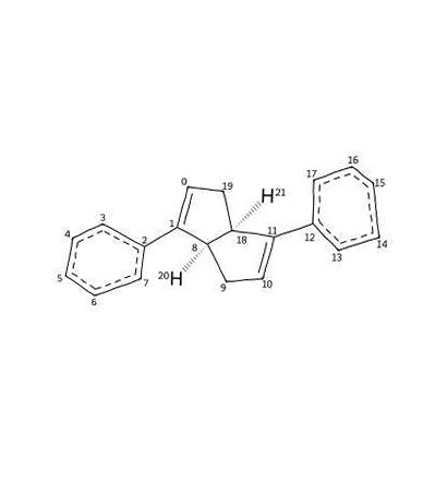 C1=C(c2ccccc2)[C@@H]2CC=C(c3ccccc3)[C@@H]2C1